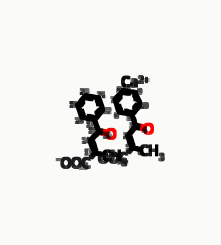 CC(=CC(=O)c1ccccc1)C(=O)[O-].CC(=CC(=O)c1ccccc1)C(=O)[O-].[Ca+2]